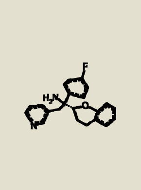 NC(Cc1cccnc1)(c1ccc(F)cc1)[C@H]1CCc2ccccc2O1